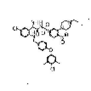 CCN1CCN(c2cc(S(=O)(=O)NC(=O)C(=N)c3cc(Cl)ccc3NCc3ccc(Oc4cc(C)c(Cl)c(C)c4)cc3)ccc2[N+](=O)[O-])CC1